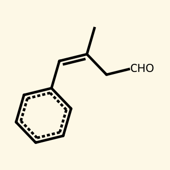 CC(=Cc1ccccc1)CC=O